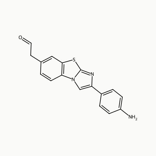 Nc1ccc(-c2cn3c(n2)sc2cc(CC=O)ccc23)cc1